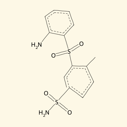 Cc1ccc(S(N)(=O)=O)cc1S(=O)(=O)c1ccccc1N